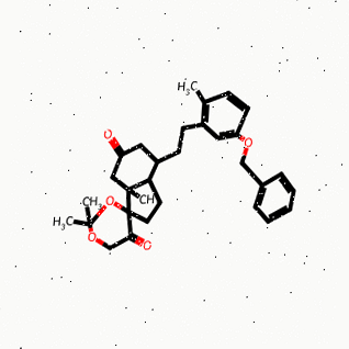 Cc1ccc(OCc2ccccc2)cc1CCC1CC(=O)CC2(C)C1CCC21OC(C)(C)OCC1=O